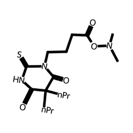 CCCC1(CCC)C(=O)NC(=S)N(CCCC(=O)ON(C)C)C1=O